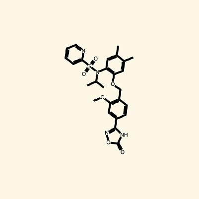 COc1cc(-c2noc(=O)[nH]2)ccc1COc1cc(C)c(C)cc1N(C(C)C)S(=O)(=O)c1ccccn1